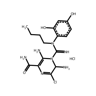 CCCCN(C(=N)N1C(N)=C(C(N)=O)N=C(Cl)C1N)c1ccc(O)cc1O.Cl